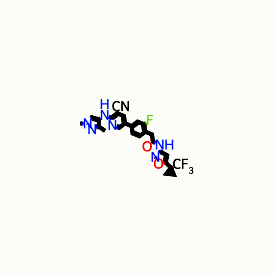 Cc1nn(C)cc1Nc1ncc(-c2ccc(CC(=O)Nc3cc(C4(C(F)(F)F)CC4)on3)c(F)c2)cc1C#N